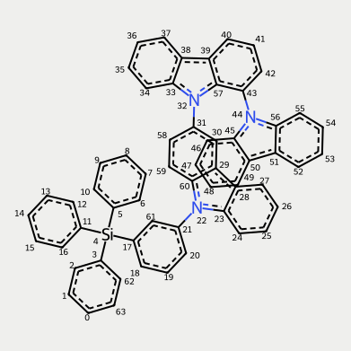 c1ccc([Si](c2ccccc2)(c2ccccc2)c2cccc(-n3c4ccccc4c4cc(-n5c6ccccc6c6cccc(-n7c8ccccc8c8ccccc87)c65)ccc43)c2)cc1